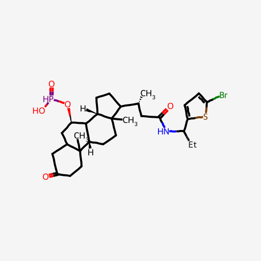 CCC(NC(=O)C[C@@H](C)C1CC[C@H]2C3[C@H](O[PH](=O)O)CC4CC(=O)CCC4(C)[C@H]3CCC12C)c1ccc(Br)s1